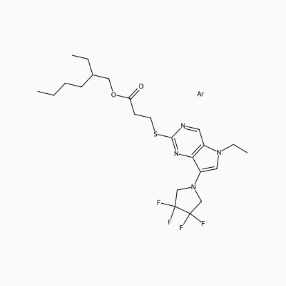 CCCCC(CC)COC(=O)CCSc1ncc2c(n1)c(N1CC(F)(F)C(F)(F)C1)cn2CC.[Ar]